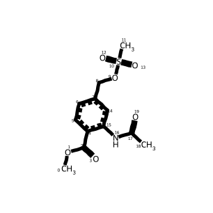 COC(=O)c1ccc(COS(C)(=O)=O)cc1NC(C)=O